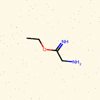 CCOC(=N)CN